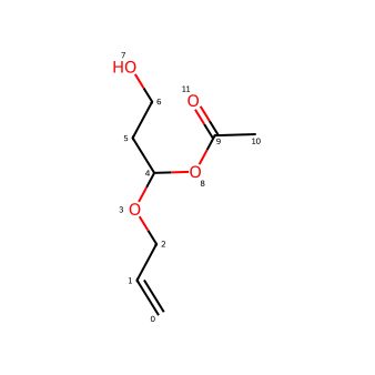 C=CCOC(CCO)OC(C)=O